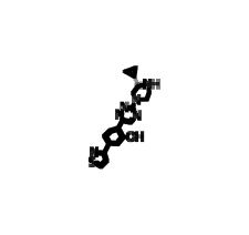 Oc1cc(-c2ccsn2)ccc1-c1cnc(N2CCN[C@@H](C3CC3)C2)nn1